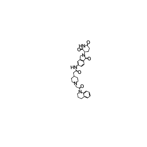 O=C1CCC(N2Cc3cc(NC(=O)CC4CCN(CC(=O)N5CCCc6ccccc65)CC4)ccc3C2=O)C(=O)N1